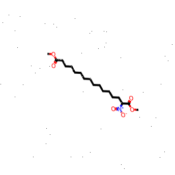 COC(=O)CCCCCCCCCCCCCC(C(=O)OC)[N+](=O)[O-]